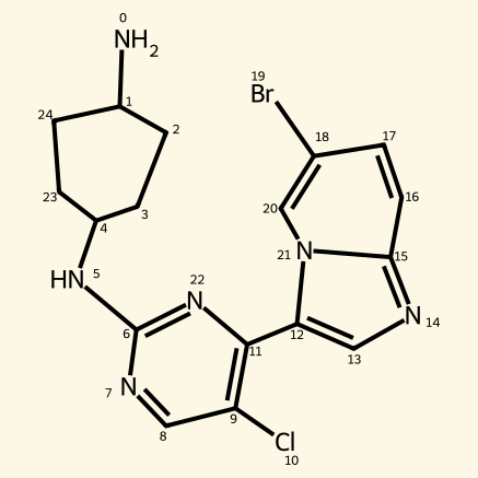 NC1CCC(Nc2ncc(Cl)c(-c3cnc4ccc(Br)cn34)n2)CC1